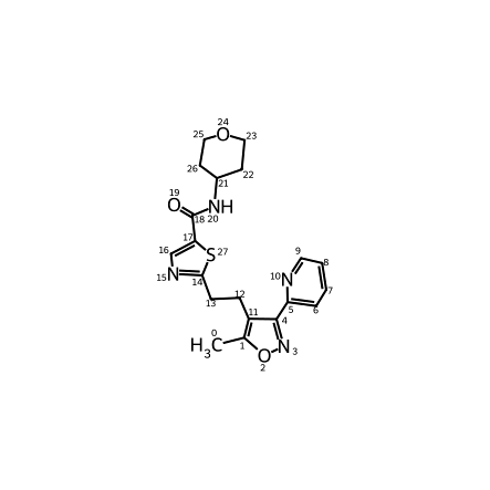 Cc1onc(-c2ccccn2)c1CCc1ncc(C(=O)NC2CCOCC2)s1